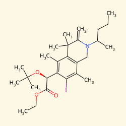 C=C1N(C(C)CCC)Cc2c(C)c(I)c([C@H](OC(C)(C)C)C(=O)OCC)c(C)c2C1(C)C